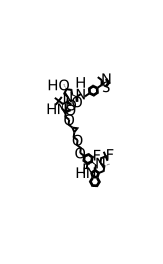 Cc1ncsc1-c1ccc(CNC(=O)[C@@H]2C[C@@H](O)CN2C(=O)[C@@H](NC(=O)COCC2CC2COCCOc2cc(F)c([C@@H]3c4[nH]c5ccccc5c4C[C@@H](C)N3CC(C)(C)F)c(F)c2)C(C)(C)C)cc1